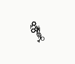 O=C(C1CC1)N1CCN(c2nnc(-c3ccccc3F)c3ccccc23)CC1